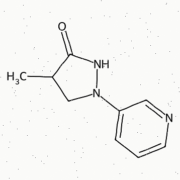 CC1CN(c2cccnc2)NC1=O